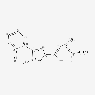 N#Cc1cn(-c2ccc(C(=O)O)c(O)c2)cc1-c1ccccc1Cl